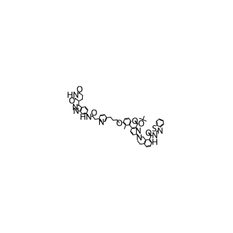 Cc1c(OCCCc2ccc(CC(=O)Nc3ccc4c(C5CCC(=O)NC5=O)nn(C)c4c3)nc2)cccc1-c1ccc(N2CCc3cccc(C(=O)Nc4nc5ccccc5s4)c3C2)nc1C(=O)OC(C)(C)C